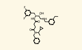 CCc1cccc(CNC[C@@H](O)[C@H](Cc2cc(F)cc(F)c2)NC(=O)CCC(=O)N(Cc2ccccc2)C(C)C2CC2)c1